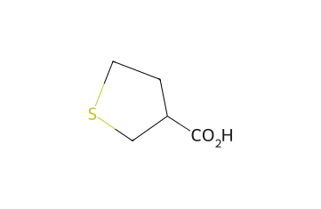 O=C(O)C1CCSC1